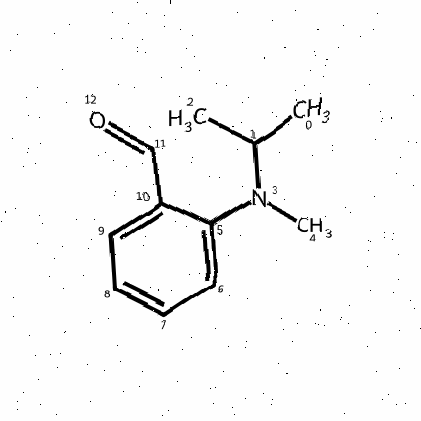 CC(C)N(C)c1ccccc1C=O